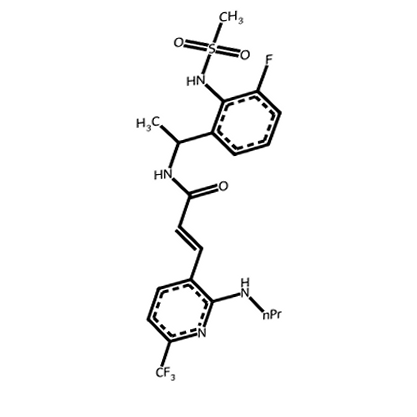 CCCNc1nc(C(F)(F)F)ccc1C=CC(=O)NC(C)c1cccc(F)c1NS(C)(=O)=O